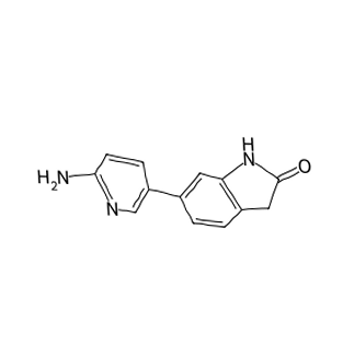 Nc1ccc(-c2ccc3c(c2)NC(=O)C3)cn1